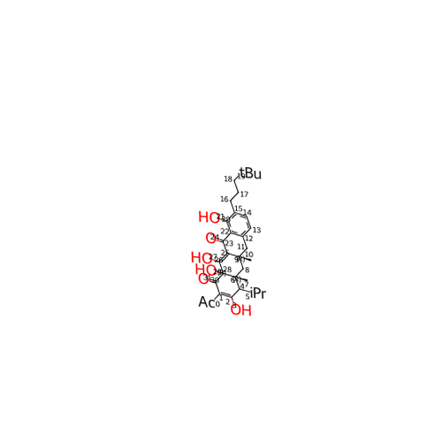 CC(=O)C1=C(O)C(C(C)C)[C@@]2(C)C[C@@]3(C)Cc4ccc(CCCC(C)(C)C)c(O)c4C(=O)C3=C(O)[C@@]2(O)C1=O